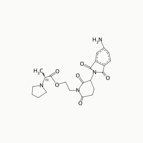 C[C@@H](C(=O)OCCN1C(=O)CCC(N2C(=O)c3ccc(N)cc3C2=O)C1=O)N1CCCC1